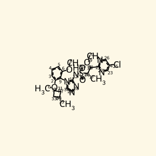 COc1cccc(OC)c1-n1c(NS(=O)(=O)[C@@H](C)[C@H](OC)c2ncc(Cl)cn2)nnc1[C@H]1CC[C@H]1C